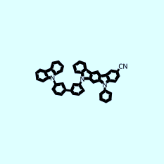 N#Cc1ccc2c(c1)c1cc3c4ccccc4n(-c4cccc(-c5cccc(-n6c7ccccc7c7ccccc76)c5)c4)c3cc1n2-c1ccccc1